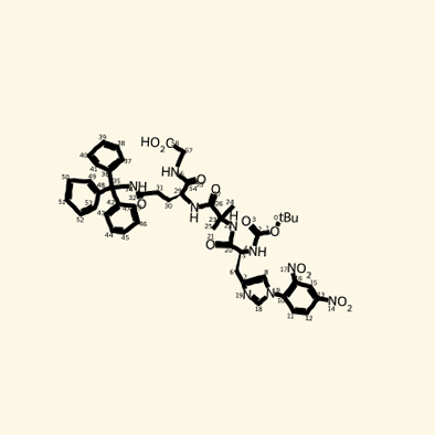 CC(C)(C)OC(=O)N[C@@H](Cc1cn(-c2ccc([N+](=O)[O-])cc2[N+](=O)[O-])cn1)C(=O)NC(C)(C)C(=O)N[C@@H](CCC(=O)NC(c1ccccc1)(c1ccccc1)c1ccccc1)C(=O)NCC(=O)O